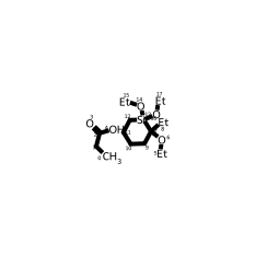 CCC(=O)O.CCOC1(CC)CCCC[Si]1(OCC)OCC